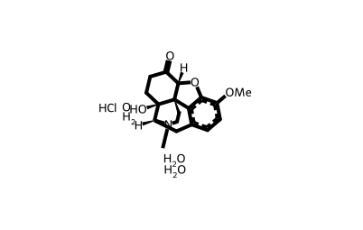 COc1ccc2c3c1O[C@H]1C(=O)CC[C@@]4(O)[C@@H](C2)N(C)CC[C@]314.Cl.O.O.O